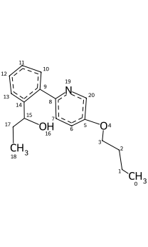 CCCCOc1ccc(-c2ccccc2C(O)CC)nc1